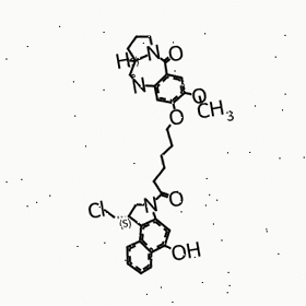 COc1cc2c(cc1OCCCCCC(=O)N1C[C@@H](CCl)c3c1cc(O)c1ccccc31)N=C[C@@H]1CCCN1C2=O